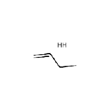 C=CCC.[HH]